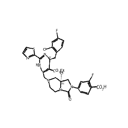 CCOC(=O)C1=C(CN2CCN3C(=O)N(c4ccc(C(=O)O)c(F)c4)C[C@@H]3C2)NC(c2nccs2)=N[C@H]1Cc1ccc(F)cc1Cl